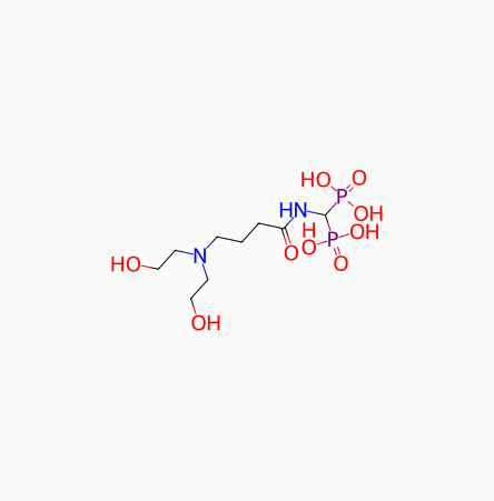 O=C(CCCN(CCO)CCO)NC(P(=O)(O)O)P(=O)(O)O